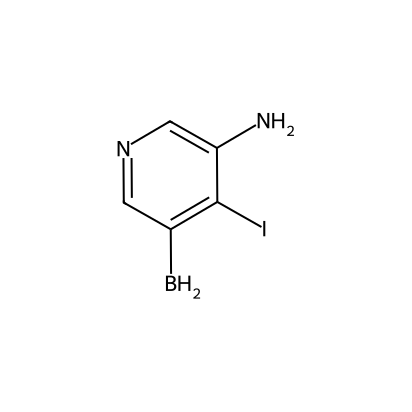 Bc1cncc(N)c1I